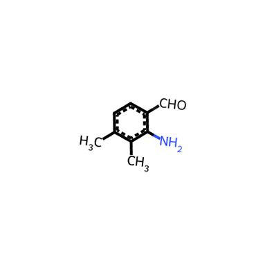 Cc1ccc(C=O)c(N)c1C